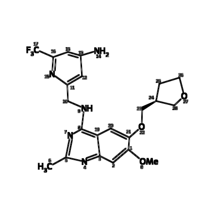 COc1cc2nc(C)nc(NCc3cc(N)cc(C(F)(F)F)n3)c2cc1OC[C@H]1CCOC1